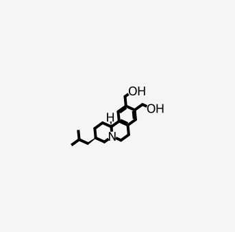 CC(C)C[C@H]1CC[C@H]2c3cc(CO)c(CO)cc3CCN2C1